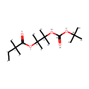 CCC(C)(C)C(=O)OC(C)(C)C(C)(C)OC(=O)OC(C)(C)C